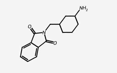 NC1CCCC(CN2C(=O)c3ccccc3C2=O)C1